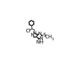 CSc1nc([NH])c2cnn(CC(Cl)c3ccccc3)c2n1